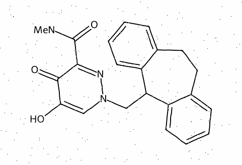 CNC(=O)c1nn(CC2c3ccccc3CCc3ccccc32)cc(O)c1=O